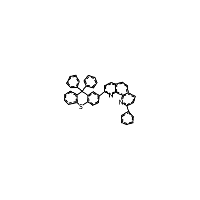 c1ccc(-c2ccc3ccc4ccc(-c5ccc6c(c5)C(c5ccccc5)(c5ccccc5)c5ccccc5S6)nc4c3n2)cc1